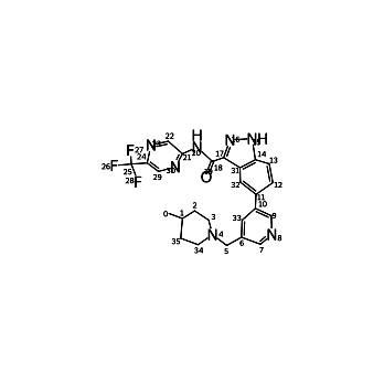 CC1CCN(Cc2cncc(-c3ccc4[nH]nc(C(=O)Nc5cnc(C(F)(F)F)cn5)c4c3)c2)CC1